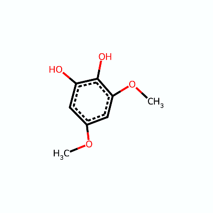 COc1cc(O)c(O)c(OC)c1